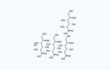 O=C(O)[C@H](O)[C@@H](O)[C@H](O)[C@H](O)CO.O=C(O)[C@H](O)[C@@H](O)[C@H](O)[C@H](O)CO.O=C(O)[C@H](O)[C@@H](O)[C@H](O)[C@H](O)CO.O=C(O)[C@H](O)[C@@H](O)[C@H](O)[C@H](O)CO.[Zn]